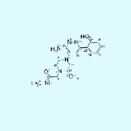 CNC(=O)CN1CCN(c2cc(-c3ccccc3O)nnc2N)CC1C